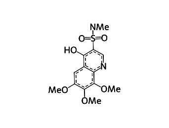 CNS(=O)(=O)c1cnc2c(OC)c(OC)c(OC)cc2c1O